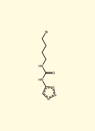 O=C(NCCCCBr)Nc1cnns1